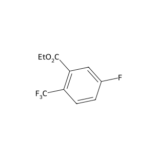 CCOC(=O)c1cc(F)ccc1C(F)(F)F